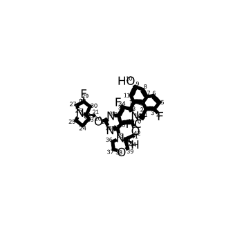 C#Cc1c(F)ccc2cc(O)cc(-c3nc4c5c(nc(OC[C@@]67CCCN6C[C@H](F)C7)nc5c3F)N3CCOC[C@H]3CO4)c12